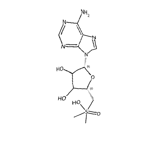 CS(C)(=O)(O)C[C@H]1O[C@@H](n2cnc3c(N)ncnc32)C(O)C1O